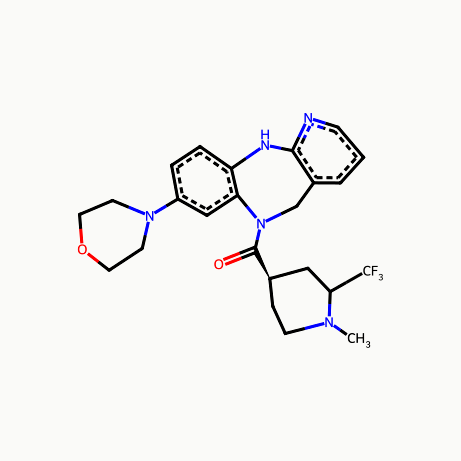 CN1CC[C@@H](C(=O)N2Cc3cccnc3Nc3ccc(N4CCOCC4)cc32)CC1C(F)(F)F